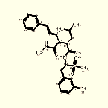 CC(C)C[C@@H](C(=O)NN(Cc1cccc(O)c1)S(C)(=O)=O)[C@H](CC=Cc1ccccc1)C(=O)NO